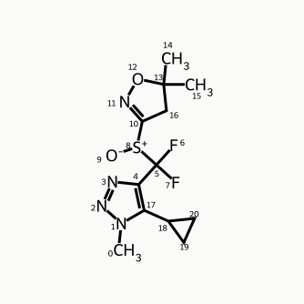 Cn1nnc(C(F)(F)[S+]([O-])C2=NOC(C)(C)C2)c1C1CC1